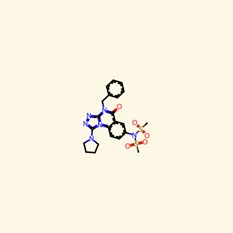 CS(=O)(=O)N(c1ccc2c(c1)c(=O)n(Cc1ccccc1)c1nnc(N3CCCC3)n21)S(C)(=O)=O